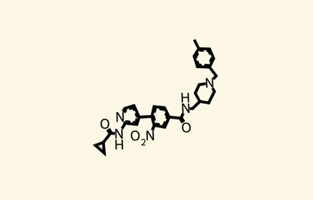 Cc1ccc(CN2CCC(CNC(=O)c3ccc(-c4ccnc(NC(=O)C5CC5)c4)c([N+](=O)[O-])c3)CC2)cc1